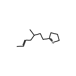 C/C=C/CC(C)CCC1=NCCC1